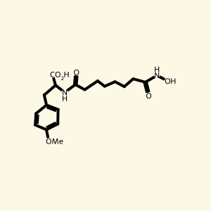 COc1ccc(CC(NC(=O)CCCCCCC(=O)NO)C(=O)O)cc1